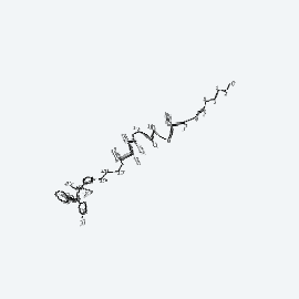 CCC=CCC=CCC=CCC=CCC=CCCCCOC(C)(C)C(=O)OC